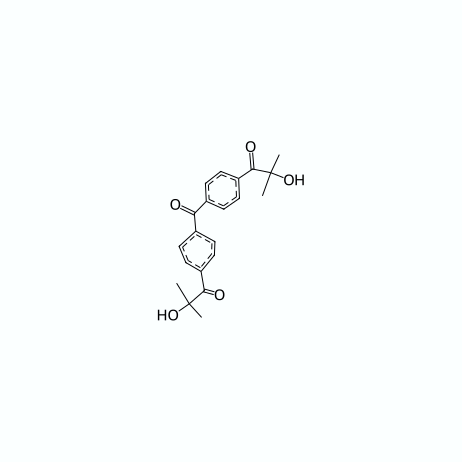 CC(C)(O)C(=O)c1ccc(C(=O)c2ccc(C(=O)C(C)(C)O)cc2)cc1